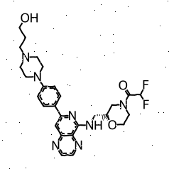 O=C(C(F)F)N1CCO[C@H](CNc2nc(-c3ccc(N4CCN(CCCO)CC4)cc3)cc3nccnc23)C1